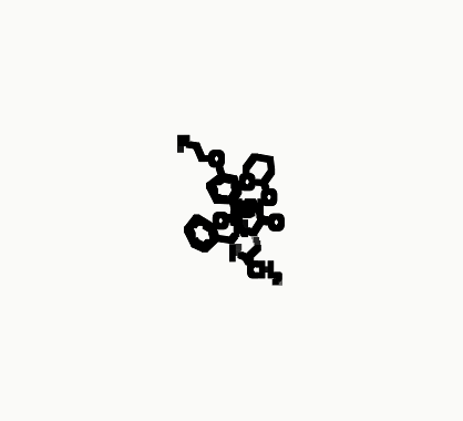 C=C(F)C[C@@H](C(=O)NOC1CCCCO1)N(Cc1ccccc1)S(=O)(=O)c1ccc(OCCF)cc1